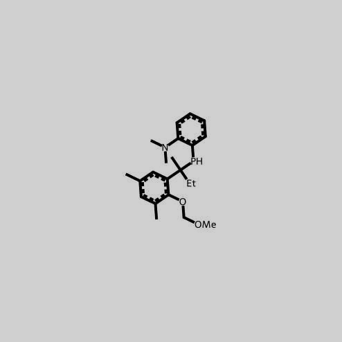 CCC(C)(Pc1ccccc1N(C)C)c1cc(C)cc(C)c1OCOC